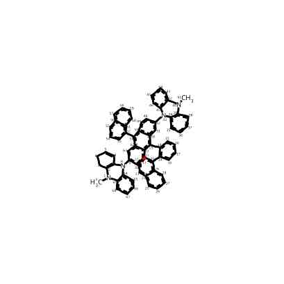 CN1C2=C(C=CCC2)N(c2ccc3c(-c4ccccc4-c4cccc5ccccc45)c4cc(N5c6ccccc6N(C)c6ccccc65)ccc4c(-c4cccc5ccccc45)c3c2)c2ccccc21